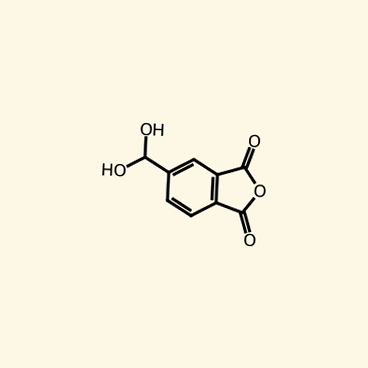 O=C1OC(=O)c2cc(C(O)O)ccc21